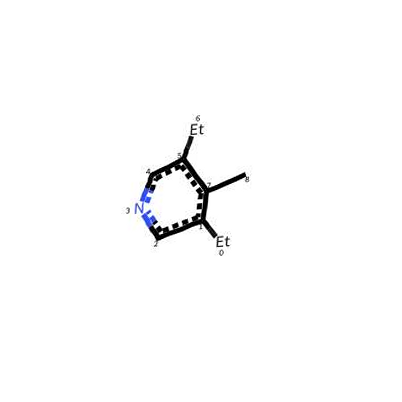 CCc1cncc(CC)c1C